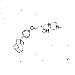 CN1CCN(CC(O)CCOc2ccc(C34CC5CC6CC(C6)(C3)C4C5)cc2)CC1